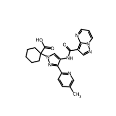 Cc1ccc(-c2nn(C3(C(=O)O)CCCCC3)cc2NC(=O)c2cnn3cccnc23)nc1